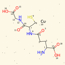 NC(CCC(=O)NC(CS)C(=O)NCC(=O)O)C(=O)O.[Cu]